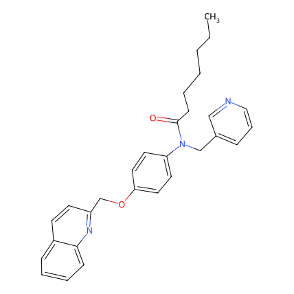 CCCCCCC(=O)N(Cc1cccnc1)c1ccc(OCc2ccc3ccccc3n2)cc1